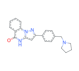 O=c1[nH]c2cc(-c3ccc(CN4CCCC4)cc3)nn2c2ccccc12